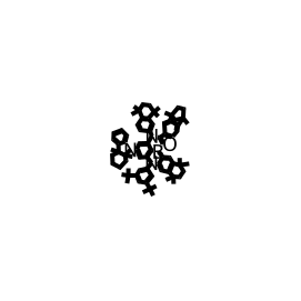 CC(C)(C)c1cc(N2c3cc4c(cc3B3c5oc6cc7c(cc6c5N(c5ccc6c(c5)C(C)(C)CCC6(C)C)c5cc(N6c8ccccc8C8(C)CCCCC68C)cc2c53)C2(C)CCC7(C)C2)C(C)(C)CCC4(C)C)cc(C(C)(C)C)c1